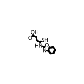 O=C(O)CCC(S)Nc1nc2ccccc2o1